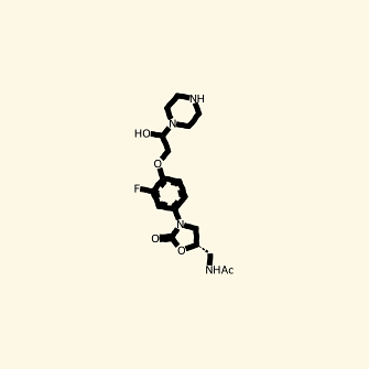 CC(=O)NC[C@H]1CN(c2ccc(OCC(O)N3CCNCC3)c(F)c2)C(=O)O1